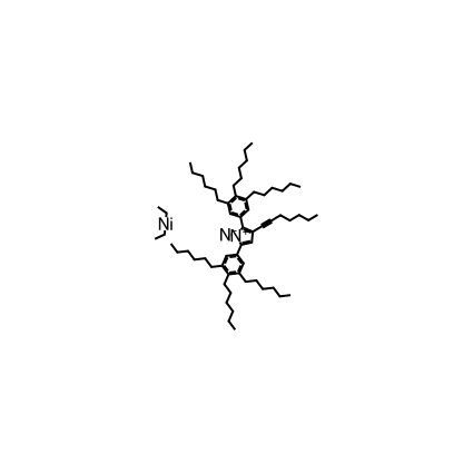 CCCCCC#CC1=C(c2cc(CCCCCC)c(CCCCCC)c(CCCCCC)c2)[N+](=[N-])C(c2cc(CCCCCC)c(CCCCCC)c(CCCCCC)c2)=C1.C[CH2][Ni][CH2]C